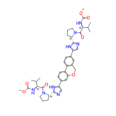 COC(=O)N[C@H](C(=O)N1CCC[C@H]1c1ncc(-c2ccc3c(c2)COc2cc(-c4cnc([C@@H]5CCCN5C(=O)[C@@H](NC(=O)OC)C(C)C)[nH]4)ccc2-3)[nH]1)C(C)C